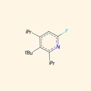 CC(C)c1cc(F)nc(C(C)C)c1C(C)(C)C